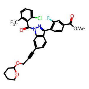 COC(=O)c1ccc(-c2nn(C(=O)c3c(Cl)cccc3C(F)(F)F)c3cc(C#CCOC4CCCCO4)ccc23)c(F)c1